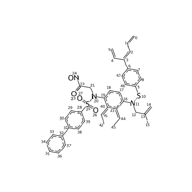 C=C/C=C(\C=C)c1ccc(SN(CC(=C)C)c2ccc(N(CC(=O)N=O)S(=O)(=O)c3ccc(-c4ccccc4)cc3)c(=C/C)/c2=C\C)cc1